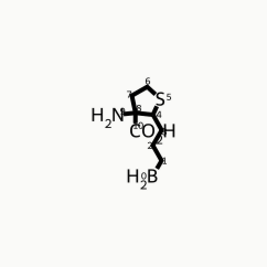 BCCCC1SCCC1(N)C(=O)O